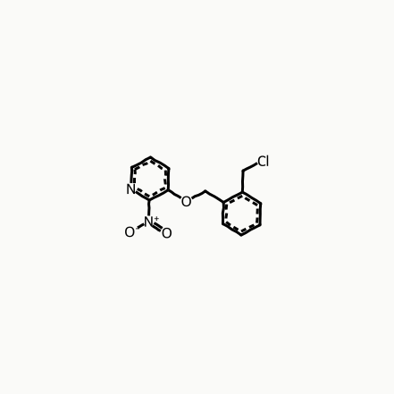 O=[N+]([O-])c1ncccc1OCc1ccccc1CCl